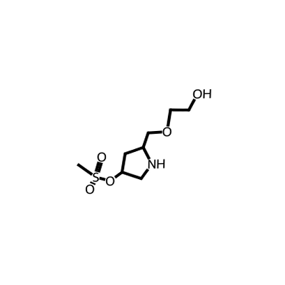 CS(=O)(=O)OC1CNC(COCCO)C1